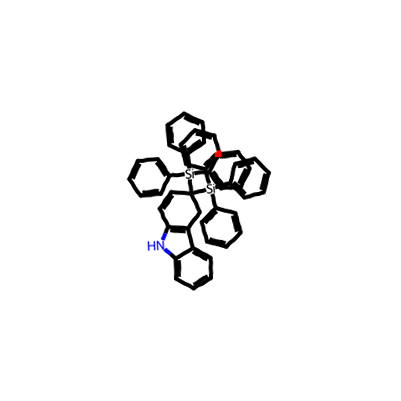 C1=CC([Si](c2ccccc2)(c2ccccc2)c2ccccc2)([Si](c2ccccc2)(c2ccccc2)c2ccccc2)Cc2c1[nH]c1ccccc21